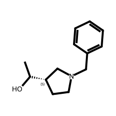 CC(O)[C@H]1CCN(Cc2ccccc2)C1